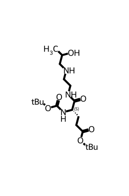 CC(O)CNCCNC(=O)[C@H](CCC(=O)OC(C)(C)C)NC(=O)OC(C)(C)C